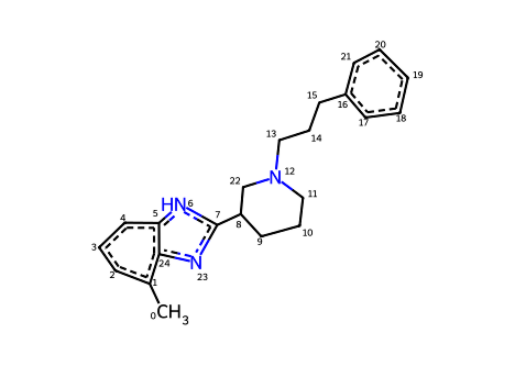 Cc1cccc2[nH]c(C3CCCN(CCCc4ccccc4)C3)nc12